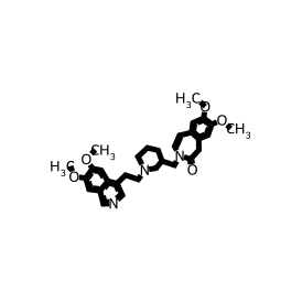 COc1cc2c(cc1OC)CC(=O)N(CC1CCCN(CCc3cncc4cc(OC)c(OC)cc34)C1)C=C2